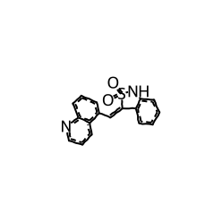 O=S1(=O)Nc2ccccc2C1=Cc1cccc2ncccc12